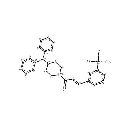 O=C(C=Cc1cccc(C(F)(F)F)c1)N1CCN(C(c2ccccc2)c2ccccc2)CC1